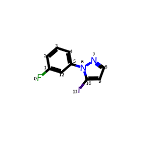 Fc1cccc(-n2nccc2I)c1